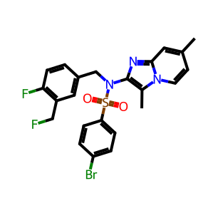 Cc1ccn2c(C)c(N(Cc3ccc(F)c(CF)c3)S(=O)(=O)c3ccc(Br)cc3)nc2c1